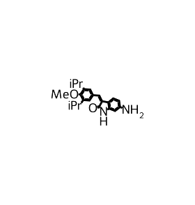 COc1c(C(C)C)cc(/C=C2\C(=O)Nc3cc(N)ccc32)cc1C(C)C